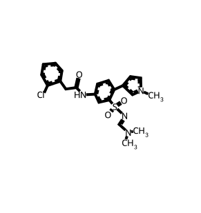 CN(C)/C=N/S(=O)(=O)c1cc(NC(=O)Cc2ccccc2Cl)ccc1-c1ccn(C)c1